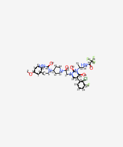 COc1ccc2c(c1)CCN(C1CCN(C(=O)Cn3cc(-c4cccc(F)c4Cl)c(=O)n(C(C)CNC(=O)C(F)(F)F)c3=O)CC1)C(=O)N2